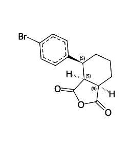 O=C1OC(=O)[C@@H]2CCC[C@H](c3ccc(Br)cc3)[C@H]12